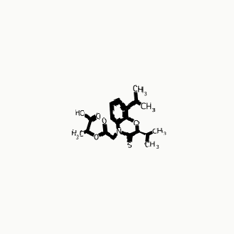 CC(OC(=O)CN1C(=S)[C@H](C(C)C)Oc2c(C(C)C)cccc21)C(=O)O